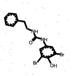 O=C(NCCc1ccccc1)Nc1cc(Br)c(O)c(Br)c1